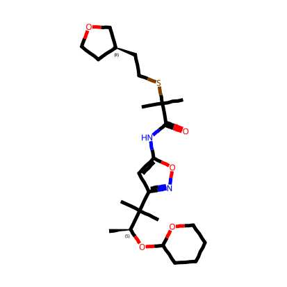 C[C@H](OC1CCCCO1)C(C)(C)c1cc(NC(=O)C(C)(C)SCC[C@H]2CCOC2)on1